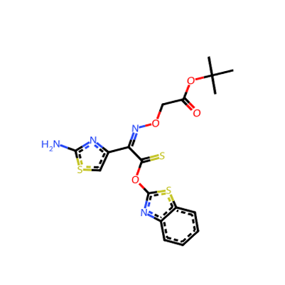 CC(C)(C)OC(=O)CO/N=C(\C(=S)Oc1nc2ccccc2s1)c1csc(N)n1